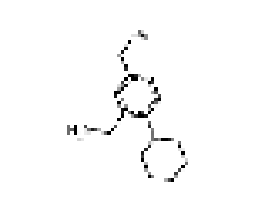 CC(C)(C)Cc1ccc(N2CCCCC2)c(CN)c1